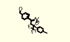 Cc1ccc(C2(C(F)(F)F)CC(c3ccc(C=O)cc3)=NO2)cc1